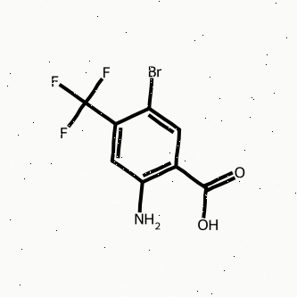 Nc1cc(C(F)(F)F)c(Br)cc1C(=O)O